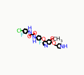 COc1cc2c(Oc3ccc(NC(=O)C(=O)Nc4ccc(Cl)c(F)c4)cc3F)ccnc2cc1OCC1CCNCC1